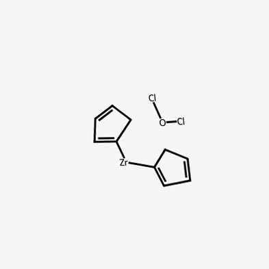 C1=CC[C]([Zr][C]2=CC=CC2)=C1.ClOCl